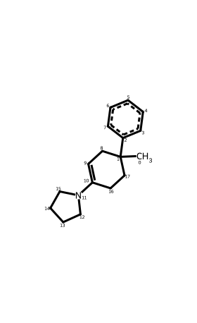 CC1(c2ccccc2)CC=C(N2CCCC2)CC1